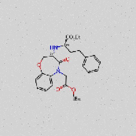 CCOC(=O)[C@@H](CCc1ccccc1)N[C@H]1COc2ccccc2N(CC(=O)OC(C)(C)C)C1=O